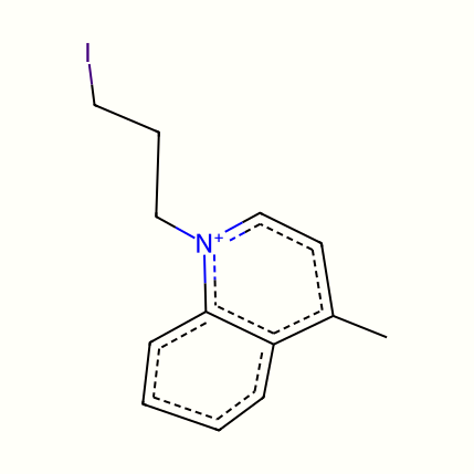 Cc1cc[n+](CCCI)c2ccccc12